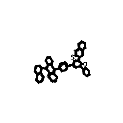 c1ccc2cc3c(cc2c1)sc1c(-c2ccc(-c4c5ccccc5c(-c5cccc6ccccc56)c5ccccc45)cc2)cc2c4ccccc4oc2c13